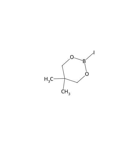 CC1(C)COB(I)OC1